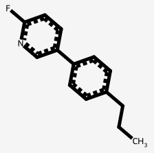 CCCc1ccc(-c2ccc(F)nc2)cc1